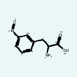 NC(Cc1cccc(N=O)c1)C(=O)O